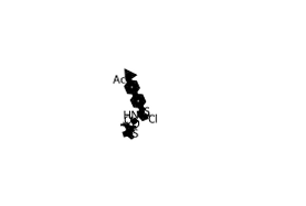 CC(=O)C1(c2ccc(-c3ccc(-c4sc(Cl)cc4NC(=O)O[C@H](C)c4cscc4C)cc3)cc2)CC1